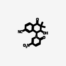 CC1(C)C(=O)c2ccc(C#N)cc2C(n2cc([N+](=O)[O-])ccc2=O)C1O